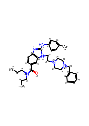 CC(=O)c1ccc(Nc2nc3ccc(C(=O)N(CCC(C)C)CCC(C)C)cc3n2CCN2CCN(Cc3ccccc3)CC2)cc1